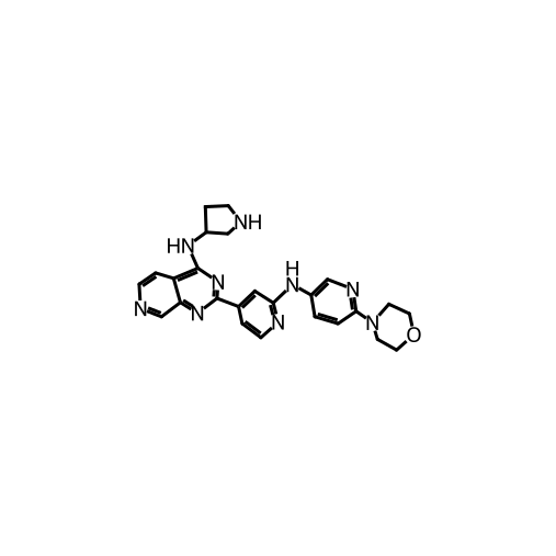 c1cc2c(NC3CCNC3)nc(-c3ccnc(Nc4ccc(N5CCOCC5)nc4)c3)nc2cn1